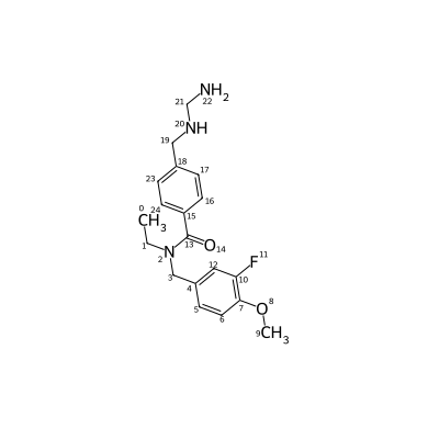 CCN(Cc1ccc(OC)c(F)c1)C(=O)c1ccc(CNCN)cc1